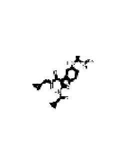 C=C(NCC)N[C@H]1CCc2sc(NC(=O)C3CC3)c(C(=O)NCC3CC3)c2C1